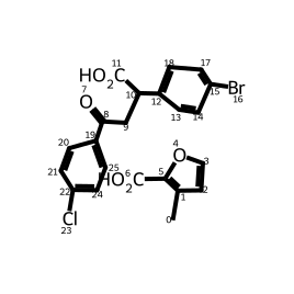 Cc1ccoc1C(=O)O.O=C(CC(C(=O)O)c1ccc(Br)cc1)c1ccc(Cl)cc1